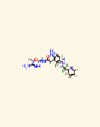 CN(OCCNC(=O)Cc1c(N)ccc(NCC(F)(F)c2ccccn2)c1F)C(=N)N